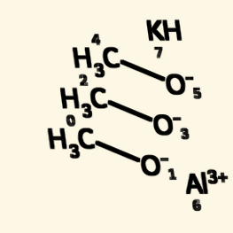 C[O-].C[O-].C[O-].[Al+3].[KH]